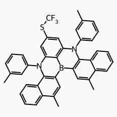 Cc1cccc(N2c3cc(SC(F)(F)F)cc4c3B(c3cc(C)c5ccccc5c32)c2cc(C)c3ccccc3c2N4c2cccc(C)c2)c1